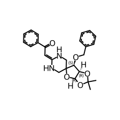 CC1(C)O[C@H]2OC3(CNC(=CC(=O)c4ccccc4)NC3)[C@@H](OCc3ccccc3)[C@H]2O1